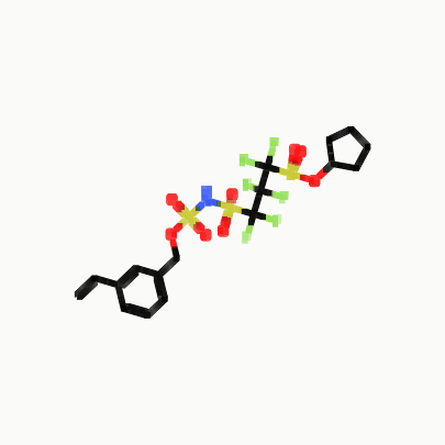 C=Cc1cccc(COS(=O)(=O)NS(=O)(=O)C(F)(F)C(F)(F)C(F)(F)S(=O)(=O)OC2CCCC2)c1